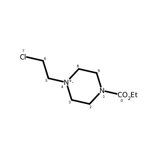 CCOC(=O)N1CC[N+](CCCl)CC1